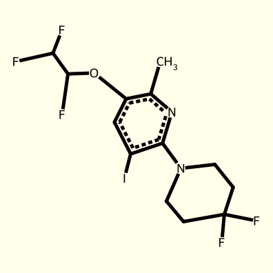 Cc1nc(N2CCC(F)(F)CC2)c(I)cc1OC(F)C(F)F